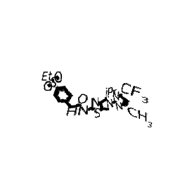 CCS(=O)(=O)c1ccc(CC(=O)Nc2nc3c(s2)CN(c2nc(C)cc(C(F)(F)F)n2)C3C(C)C)cc1